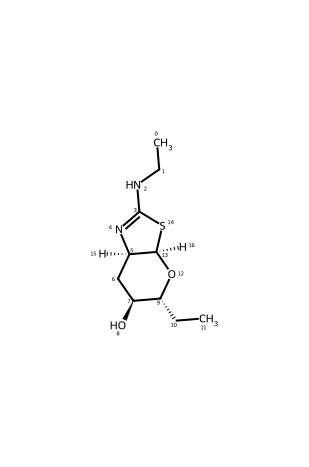 CCNC1=N[C@@H]2C[C@H](O)[C@@H](CC)O[C@@H]2S1